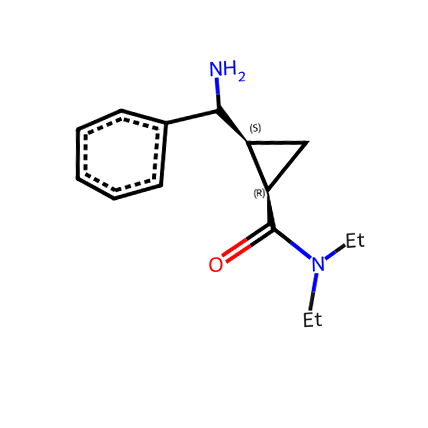 CCN(CC)C(=O)[C@@H]1C[C@@H]1C(N)c1ccccc1